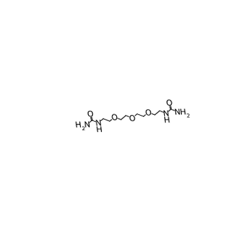 NC(=O)NCCOCCOCCOCCNC(N)=O